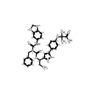 CCC(OC(=O)N(Cc1ccccc1)C(=O)Nc1ccc2c(c1)OCO2)c1cc(-c2ccc(OC(C)(C)C(=O)O)cc2)no1